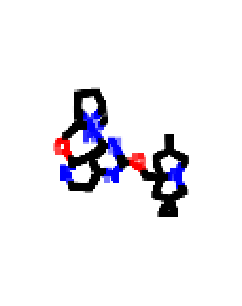 C=C1CN2CC3(CC3)CC2(COc2nc3c4c(nccc4n2)OCC2C4CCC(CN32)N4)C1